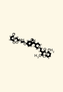 C=C1CCCCN1C(=O)C(CCN1CCC(c2noc3cc(OCCNC(=O)CN4C(=O)CCC4=O)ccc23)CC1)=C(C)C